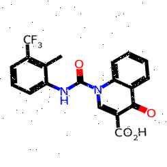 Cc1c(NC(=O)n2cc(C(=O)O)c(=O)c3ccccc32)cccc1C(F)(F)F